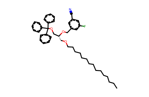 CCCCCCCCCCCCCCCOC[C@H](COC(c1ccccc1)(c1ccccc1)c1ccccc1)OCc1cc(F)cc(C#N)c1